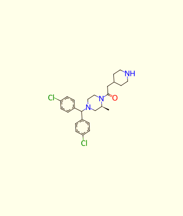 C[C@H]1CN(C(c2ccc(Cl)cc2)c2ccc(Cl)cc2)CCN1C(=O)CC1CCNCC1